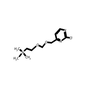 C[Si](C)(C)CCOCOCc1ccnc(Cl)n1